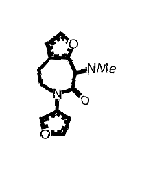 CNC1C(=O)N(c2ccoc2)CCc2ccoc21